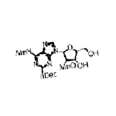 CCCCCCCCCCc1nc(NC)c2ncn([C@@H]3O[C@H](CO)[C@@H](O)[C@H]3OC)c2n1